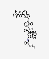 NC(=O)/C=C/CC[C@H](NC(=O)O)C(=O)Nc1cccn(Cc2nc3cccc(OC(F)(F)C(F)F)c3s2)c1=O